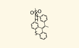 CC(=C1c2ccccc2Sc2ccccc21)c1cccc(NS(C)(=O)=O)c1